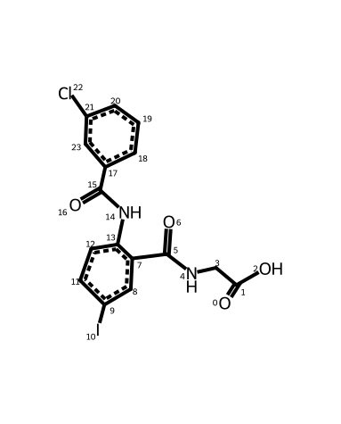 O=C(O)CNC(=O)c1cc(I)ccc1NC(=O)c1cccc(Cl)c1